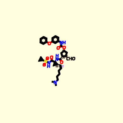 CN(C)CCCC/C=C\[C@@H]1C[C@]1(NC(=O)[C@@H]1C[C@@H](OC(=O)Nc2cccc(Oc3ccccc3)c2)C[C@H]1C=O)C(=O)NS(=O)(=O)C1CC1